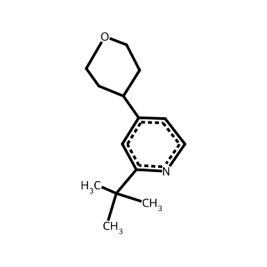 CC(C)(C)c1cc(C2CCOCC2)ccn1